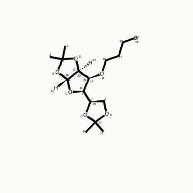 CC1(C)O[C@H]2O[C@H]([C@H]3COC(C)(C)O3)[C@H](OCCCBr)[C@@H]2O1